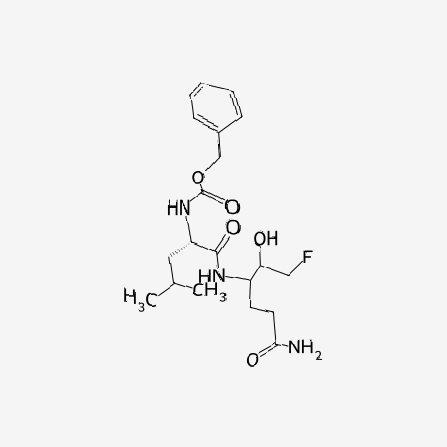 CC(C)C[C@H](NC(=O)OCc1ccccc1)C(=O)NC(CCC(N)=O)C(O)CF